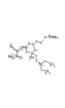 CCN(CC)CCC1(O)CCCC(CCCC#N)O1.O=C(O)C(=O)O